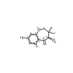 CC1(C)COc2cc(I)cnc2NC1=O